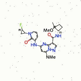 CNc1cc(Nc2cccn(C3C[C@H]3F)c2=O)nc2c(C(=O)N[C@H]3CC[C@]3(C)OC)cnn12